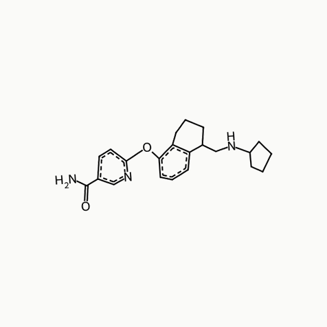 NC(=O)c1ccc(Oc2cccc3c2CCCC3CNC2CCCC2)nc1